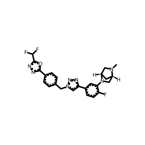 CN1C[C@@H]2C[C@H]1CN2c1cc(-c2cn(Cc3ccc(-c4nnc(C(F)F)o4)cc3)nn2)ccc1F